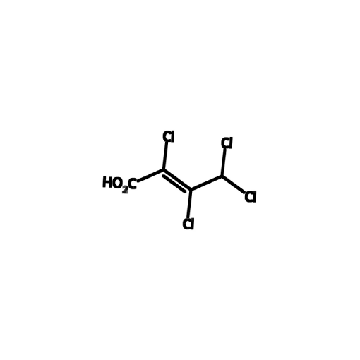 O=C(O)C(Cl)=C(Cl)C(Cl)Cl